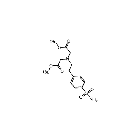 CC(C)(C)OC(=O)CN(CCc1ccc(S(N)(=O)=O)cc1)CC(=O)OC(C)(C)C